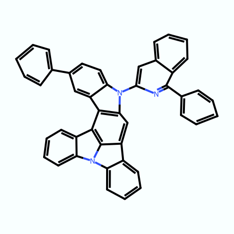 c1ccc(-c2ccc3c(c2)c2c4c5ccccc5n5c6ccccc6c(cc2n3-c2cc3ccccc3c(-c3ccccc3)n2)c45)cc1